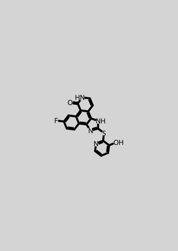 O=c1[nH]ccc2c3[nH]c(Sc4ncccc4O)nc3c3ccc(F)cc3c12